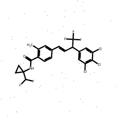 Cc1cc(/C=C/C(c2cc(Cl)c(Cl)c(Cl)c2)C(F)(F)F)ccc1C(=O)NC1(C(F)F)CC1